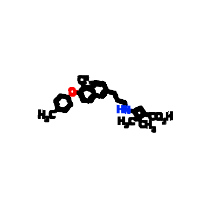 CC1(C)C(NCCCc2ccc3c(C(F)(F)F)c(O[C@H]4CC[C@@H](C)CC4)ccc3c2)CC1C(=O)O